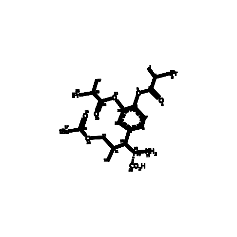 CC(C)C(C)C(=O)Oc1ccc(C(C(C)COC(=O)C(C)(C)C)[C@H](N)C(=O)O)cc1OC(=O)C(C)C(C)C